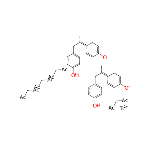 CC(=O)CC(C)=O.CC(=O)CC(C)=O.CC(=O)CC(C)=O.CC(=O)CC(C)=O.CC(Cc1ccc(O)cc1)=C1C=CC([O-])=CC1.CC(Cc1ccc(O)cc1)=C1C=CC([O-])=CC1.[Ti+2]